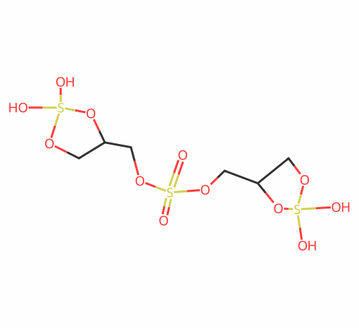 O=S(=O)(OCC1COS(O)(O)O1)OCC1COS(O)(O)O1